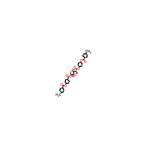 Cc1ccc(C(=O)Oc2ccc(OC(=O)[C@H]3CO[C@H]4[C@@H]3OC[C@H]4OC(=O)c3ccc(OC(=O)c4ccc(C)cc4)cc3)cc2)cc1